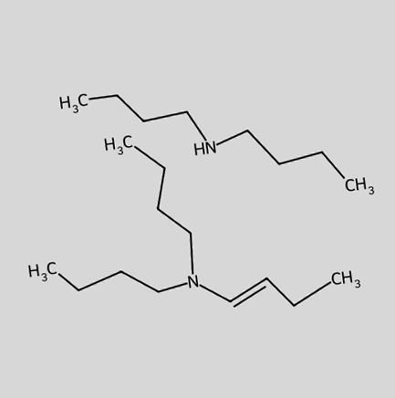 CCC=CN(CCCC)CCCC.CCCCNCCCC